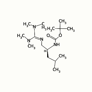 CC(C)C[C@@H](CN=C(N(C)C)N(C)C)NC(=O)OC(C)(C)C